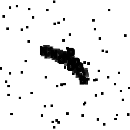 O=C1CN(S(=O)(=O)c2cc3cc(Br)ccc3o2)CC2OC3(CCN(c4ccncc4)CC3)CN12